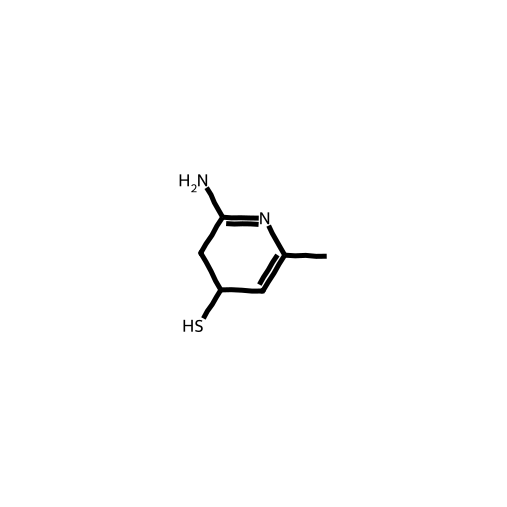 CC1=CC(S)CC(N)=N1